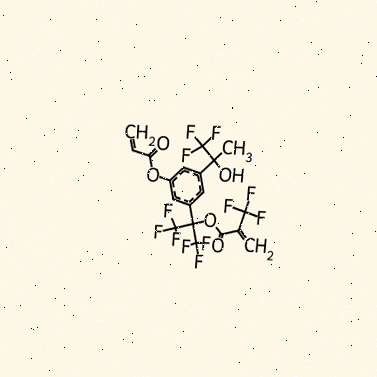 C=CC(=O)Oc1cc(C(C)(O)C(F)(F)F)cc(C(OC(=O)C(=C)C(F)(F)F)(C(F)(F)F)C(F)(F)F)c1